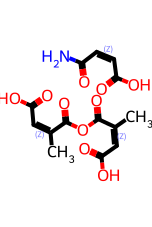 C/C(=C/C(=O)O)C(=O)OC(=O)/C(C)=C\C(=O)O.NC(=O)/C=C\C(=O)O